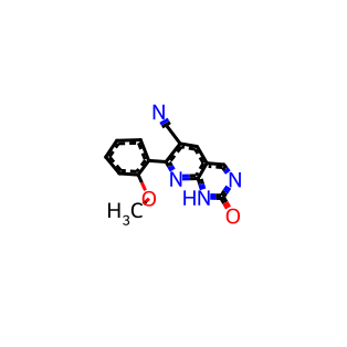 COc1ccccc1-c1nc2[nH]c(=O)ncc2cc1C#N